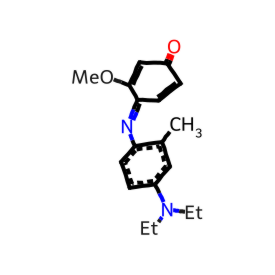 CCN(CC)c1ccc(N=C2C=CC(=O)C=C2OC)c(C)c1